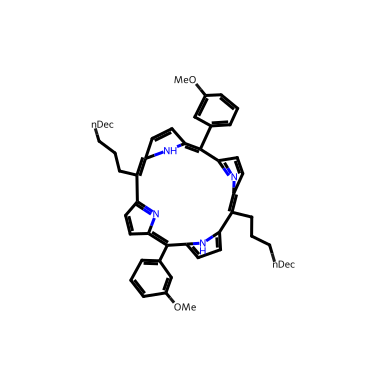 CCCCCCCCCCCCCc1c2nc(c(-c3cccc(OC)c3)c3ccc([nH]3)c(CCCCCCCCCCCCC)c3nc(c(-c4cccc(OC)c4)c4ccc1[nH]4)C=C3)C=C2